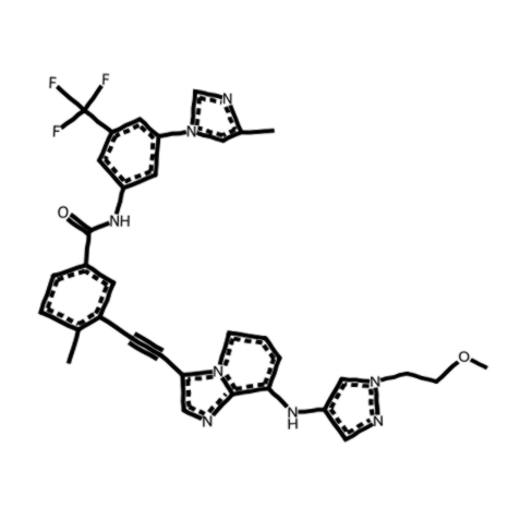 COCCn1cc(Nc2cccn3c(C#Cc4cc(C(=O)Nc5cc(-n6cnc(C)c6)cc(C(F)(F)F)c5)ccc4C)cnc23)cn1